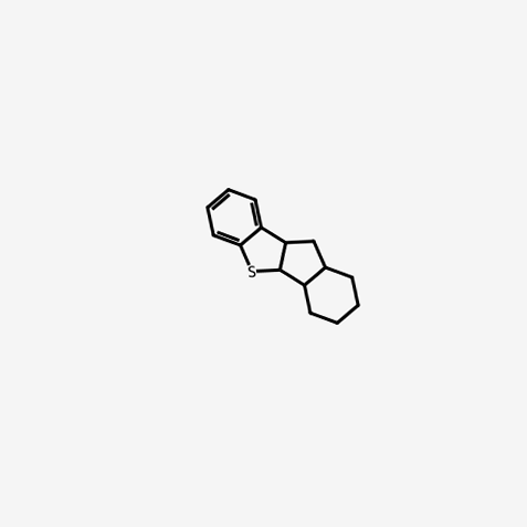 c1ccc2c(c1)SC1C2CC2CCCCC21